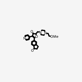 COCCN1CCN(CC2OC(c3ccc4c(c3)CCC4=O)=C(c3ccncc3)C2=O)CC1